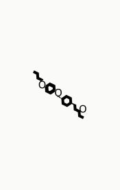 CCCCOc1ccc(OC[C@H]2CC[C@H](CCC(=O)CC)CC2)cc1